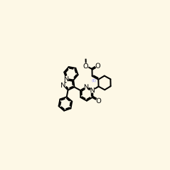 COC(=O)/C=C1\CCCCC1n1nc(-c2c(-c3ccccc3)nn3ccccc23)ccc1=O